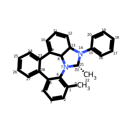 Cc1cccc2c1N1C3C(=CC=CC3N(c3ccccc3)[C@@H]1C)c1ccccc1-2